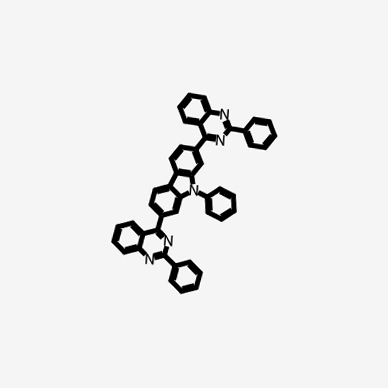 c1ccc(-c2nc(-c3ccc4c5ccc(-c6nc(-c7ccccc7)nc7ccccc67)cc5n(-c5ccccc5)c4c3)c3ccccc3n2)cc1